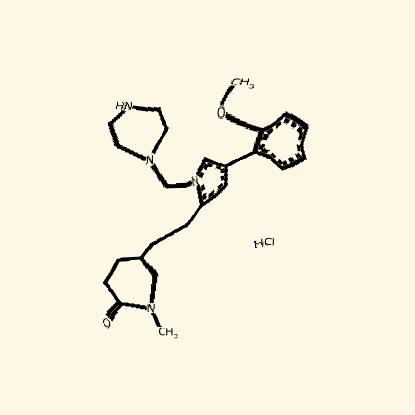 COc1ccccc1-c1cc(CCC2CCC(=O)N(C)C2)n(CN2CCNCC2)c1.Cl